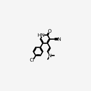 CN(C)C=Cc1c(-c2ccc(Cl)cc2)c[nH]c(=O)c1C#N